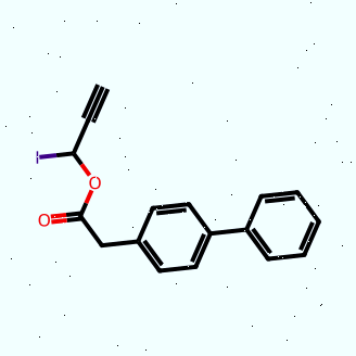 C#CC(I)OC(=O)Cc1ccc(-c2ccccc2)cc1